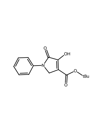 CC(C)(C)OC(=O)C1=C(O)C(=O)N(c2ccccc2)C1